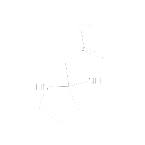 NC1(CC(=O)O)NC=CS1